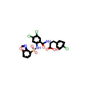 O=C(NC(Cc1ccc(Cl)cc1)C(=O)O)c1cc(Cl)c(Cl)cc1NS(=O)(=O)c1cccc2ocnc12